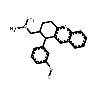 COc1cccc(C2c3cc4ccccc4nc3CCC2CN(C)C)c1